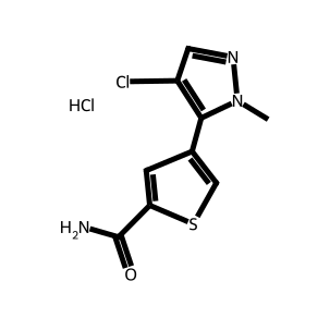 Cl.Cn1ncc(Cl)c1-c1csc(C(N)=O)c1